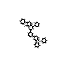 c1ccc(-c2nc(-c3cccc(-c4ccc5c(c4)c4ccccc4n5-c4ccccc4)c3)nc3c2ccc2c4ccccc4oc23)cc1